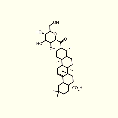 C[C@@H]1C2CC[C@]3(C)C(CC=C4C5CC(C)(C)CC[C@]5(C(=O)O)CC[C@]43C)[C@@]2(C)CC[C@H]1C(=O)[C@@H]1OC(CO)[C@H](O)C(O)C1O